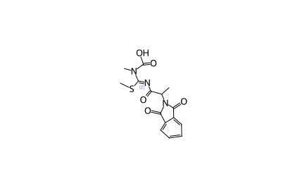 CS/C(=N\C(=O)C(C)N1C(=O)c2ccccc2C1=O)N(C)C(=O)O